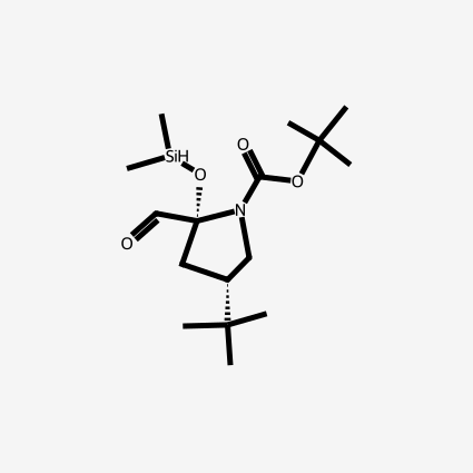 C[SiH](C)O[C@@]1(C=O)C[C@@H](C(C)(C)C)CN1C(=O)OC(C)(C)C